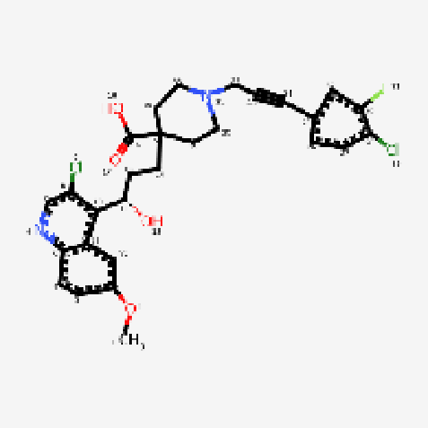 COc1ccc2ncc(Cl)c([C@@H](O)CCC3(C(=O)O)CCN(CC#Cc4ccc(Cl)c(F)c4)CC3)c2c1